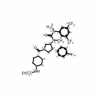 CCOC(=O)N[C@H]1CC[C@H](C(=O)N2C[C@@H](N(C)C(=O)N(C)c3cc(C(F)(F)F)cc(C(F)(F)F)c3)[C@H](c3ccc(F)cc3)C2)CC1